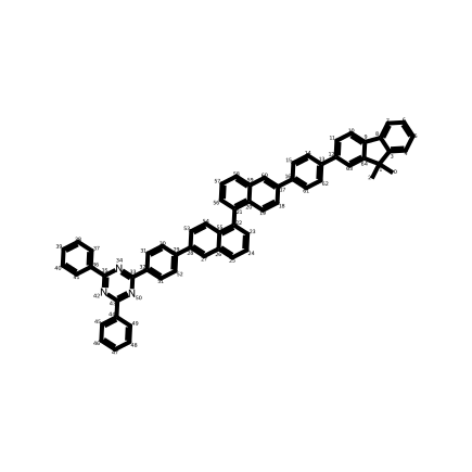 CC1(C)c2ccccc2-c2ccc(-c3ccc(-c4ccc5c(-c6cccc7cc(-c8ccc(-c9nc(-c%10ccccc%10)nc(-c%10ccccc%10)n9)cc8)ccc67)cccc5c4)cc3)cc21